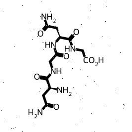 NC(=O)C[C@H](NC(=O)CNC(=O)[C@@H](N)CC(N)=O)C(=O)NCC(=O)O